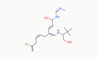 C=C(Cl)C/C=C\CC(=C/NC(CO)C(C)(C)C)/C=C/C(O)N/C=N\C